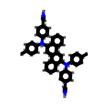 Cc1ccc(N(c2ccc(C#N)cc2)c2cc3c4ccccc4c(N(c4ccc(C)cc4)c4ccc(C#N)cc4)cc3c3ccccc23)cc1